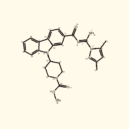 Cc1cc(C)n(/C(N)=N/C(=O)c2ccc3c4ccccc4n(C4CCN(C(=O)OC(C)(C)C)CC4)c3c2)n1